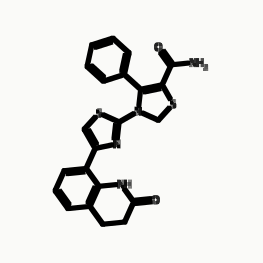 NC(=O)C1=C(c2ccccc2)N(c2nc(-c3cccc4c3NC(=O)CC4)cs2)CS1